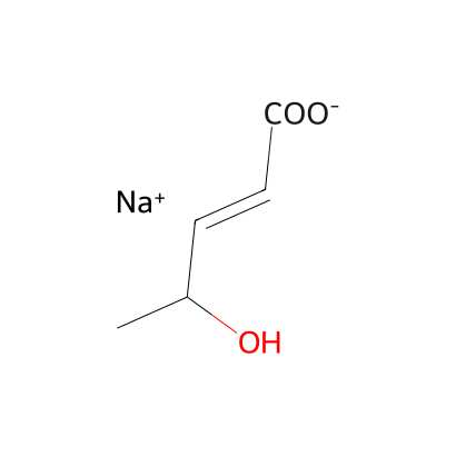 CC(O)C=CC(=O)[O-].[Na+]